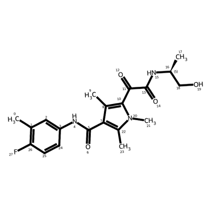 Cc1cc(NC(=O)c2c(C)c(C(=O)C(=O)N[C@@H](C)CO)n(C)c2C)ccc1F